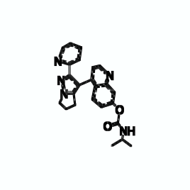 CC(C)NC(=O)Oc1ccc2c(-c3c(-c4ccccn4)nn4c3CCC4)ccnc2c1